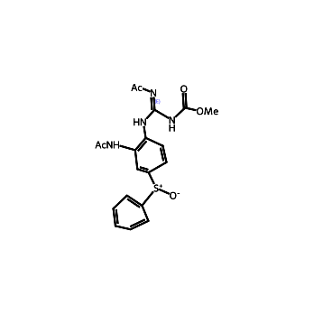 COC(=O)N/C(=N/C(C)=O)Nc1ccc([S+]([O-])c2ccccc2)cc1NC(C)=O